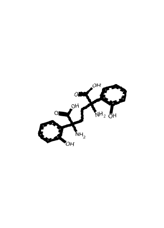 NC(CCC(N)(C(=O)O)c1ccccc1O)(C(=O)O)c1ccccc1O